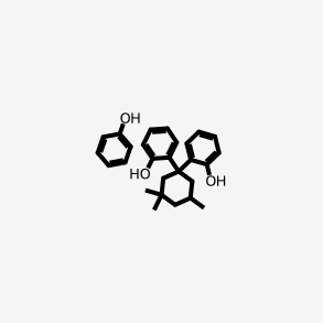 CC1CC(C)(C)CC(c2ccccc2O)(c2ccccc2O)C1.Oc1ccccc1